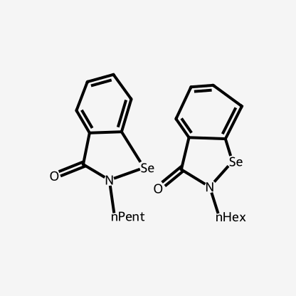 CCCCCCn1[se]c2ccccc2c1=O.CCCCCn1[se]c2ccccc2c1=O